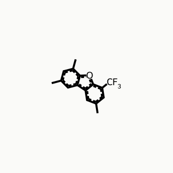 Cc1cc(C)c2oc3c(C(F)(F)F)cc(C)cc3c2c1